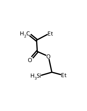 C=C(CC)C(=O)OC([SiH3])CC